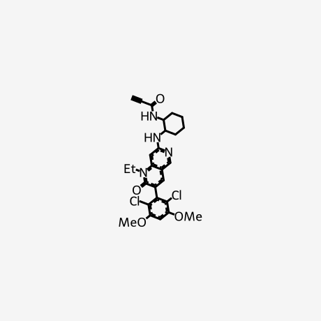 C#CC(=O)NC1CCCCC1Nc1cc2c(cn1)cc(-c1c(Cl)c(OC)cc(OC)c1Cl)c(=O)n2CC